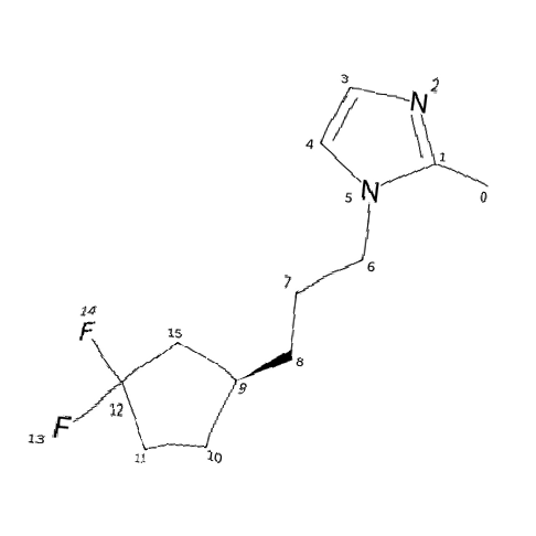 Cc1nccn1CCC[C@H]1CCC(F)(F)C1